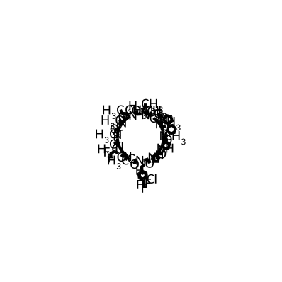 CC[C@H](C)[C@@H]1NC(=O)[C@H](CC(C)C)N(C)C(=O)C[C@@H](C(=O)N2CCCCC2)N(C)C(=O)[C@H](C2CCCCC2)N(C)C(=O)C2(CCCC2)NC(=O)[C@@H]2CCCN2C(=O)[C@H](CCc2ccc(C(F)(F)F)c(Cl)c2)NC(=O)CN(C)C(=O)[C@H](CCC(F)F)N(C)C(=O)CN(C)C(=O)CN(C)C1=O